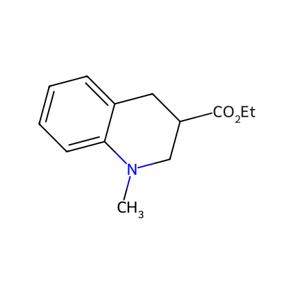 CCOC(=O)C1Cc2ccccc2N(C)C1